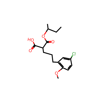 CCC(C)OC(=O)C(CCCc1cc(Cl)ccc1OC)C(=O)O